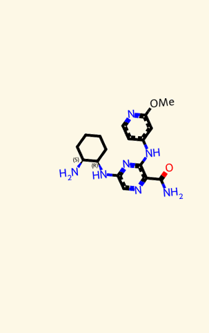 COc1cc(Nc2nc(N[C@@H]3CCCC[C@@H]3N)cnc2C(N)=O)ccn1